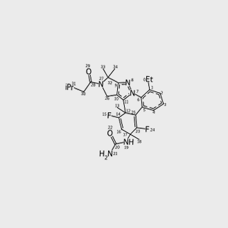 CCc1cccc2c1-n1nc3c(c1C1(C)C(F)=CC(C)(NC(N)=O)C(F)=C21)CN(C(=O)CC(C)C)C3(C)C